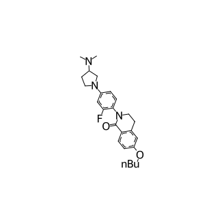 CCCCOc1ccc2c(c1)CCN(c1ccc(N3CCC(N(C)C)C3)cc1F)C2=O